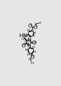 CCOC(=O)c1ccc2c(c1)[nH]cc1c(=O)n(-c3ccc(OCC)cc3)c(=O)n2-1